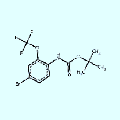 CC(C)(C)OC(=O)Nc1ccc(Br)cc1OC(F)(F)F